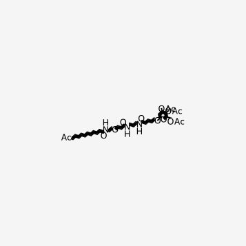 CC(=O)CCCCCCCCCCC(=O)NCCOCCC(=O)NCCCNC(=O)CCCCO[C@H]1C[C@@H](OC(C)=O)[C@@H](OC(C)=O)[C@@H](COC(C)=O)O1